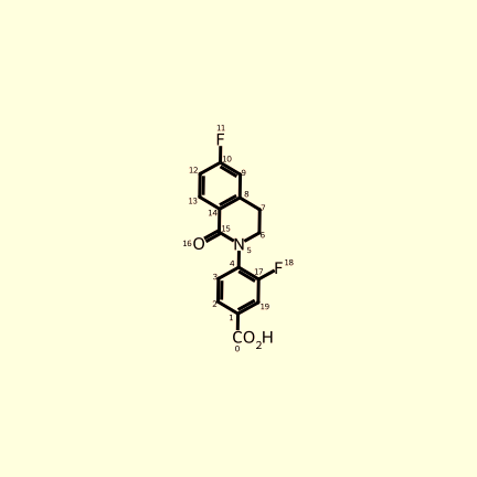 O=C(O)c1ccc(N2CCc3cc(F)ccc3C2=O)c(F)c1